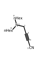 CCCCCCN(CC#CC#N)CCCCCC